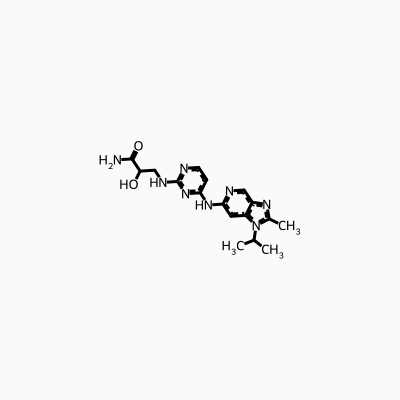 Cc1nc2cnc(Nc3ccnc(NCC(O)C(N)=O)n3)cc2n1C(C)C